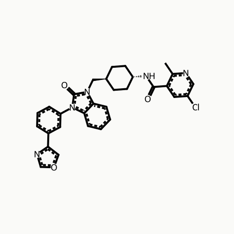 Cc1ncc(Cl)cc1C(=O)N[C@H]1CC[C@H](Cn2c(=O)n(-c3cccc(-c4cocn4)c3)c3ccccc32)CC1